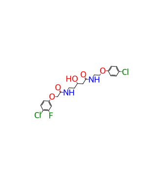 O=C(COc1ccc(Cl)c(F)c1)NCCC(O)CC(=O)NCCOc1ccc(Cl)cc1